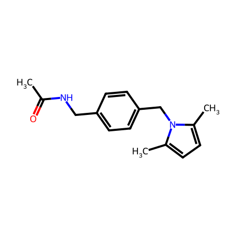 CC(=O)NCc1ccc(Cn2c(C)ccc2C)cc1